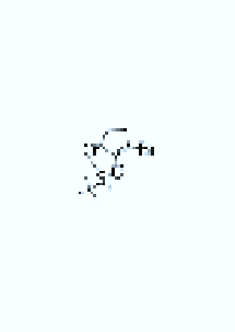 CC(C)(C)[Si](C)(C)OC1=C(Br)CCC1=O